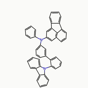 c1ccc(N(c2cccc(-c3ccccc3-n3c4ccccc4c4ccccc43)c2)c2cc3c4c(cccc4c2)-c2ccccc2-3)cc1